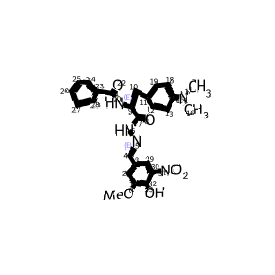 COc1cc(/C=N/NC(=O)/C(=C\c2ccc(N(C)C)cc2)NC(=O)c2ccccc2)cc([N+](=O)[O-])c1O